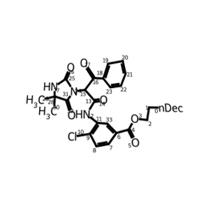 CCCCCCCCCCCCOC(=O)c1ccc(Cl)c(NC(=O)C(C(=O)c2ccccc2)N2C(=O)NC(C)(C)C2=O)c1